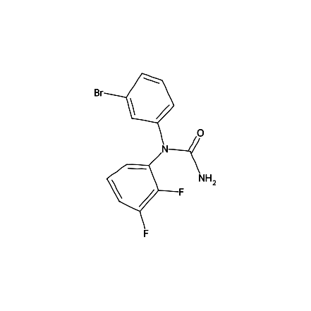 NC(=O)N(c1cccc(Br)c1)c1cccc(F)c1F